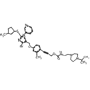 Cc1cc(OCc2c(Br)nc(SC3CCC(C)C3)n2-c2cccnc2)ccc1C#CCOC(=O)NCCN1CCN(C(C)C)CC1